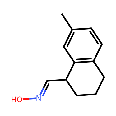 Cc1ccc2c(c1)C(C=NO)CCC2